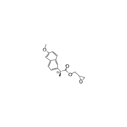 COc1ccc2cc([C@H](C)C(=O)OCC3CO3)ccc2c1